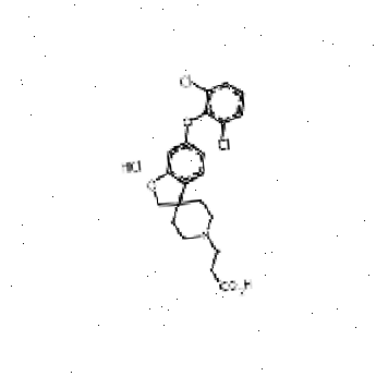 Cl.O=C(O)CCN1CCC2(CC1)COc1cc(Oc3c(Cl)cccc3Cl)ccc12